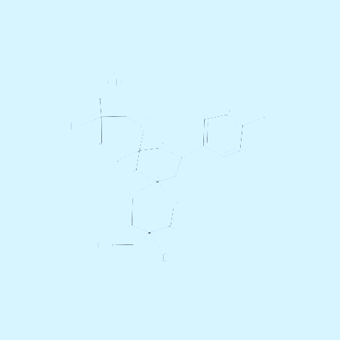 CCC1(CO)COC2(CC(c3ccc(C)cc3)CC3(C2)OCC(CC)(CO)CO3)OC1